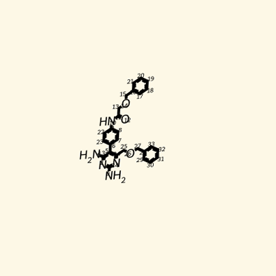 Nc1nc(N)c(-c2ccc(NC(=O)COCc3ccccc3)cc2)c(COCc2ccccc2)n1